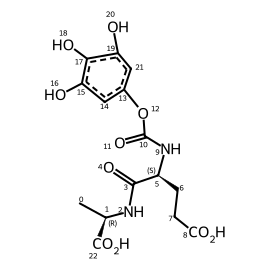 C[C@@H](NC(=O)[C@H](CCC(=O)O)NC(=O)Oc1cc(O)c(O)c(O)c1)C(=O)O